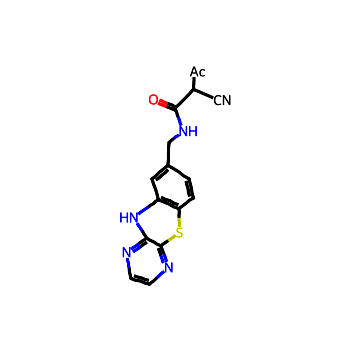 CC(=O)C(C#N)C(=O)NCc1ccc2c(c1)Nc1nccnc1S2